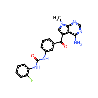 Cn1cc(C(=O)c2cccc(NC(=O)Nc3ccccc3F)c2)c2c(N)ncnc21